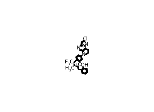 CN(C(=O)Cc1ccccc1O)[C@@H](c1ccc(N2CCCc3c2cnc2cc(Cl)nn32)cc1)C(F)(F)F